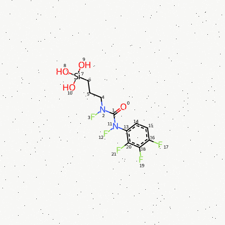 O=C(N(F)CCC[Si](O)(O)O)N(F)c1ccc(F)c(F)c1F